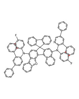 Fc1ccc(N(c2ncc(-c3ccccc3)cc2-c2ccccc2)c2cc3c(c4ccccc24)-c2c(cc(N(c4ccc(F)cc4)c4ccc(-c5ccccc5)cc4-c4ccccc4)c4c2oc2ccccc24)C32c3ccccc3-c3ccccc32)cc1